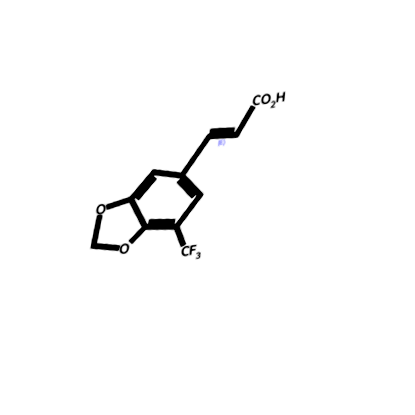 O=C(O)/C=C/c1cc2c(c(C(F)(F)F)c1)OCO2